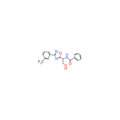 O=C(NC(CO)c1nc(-c2cccc(C(F)(F)F)c2)no1)c1ccccc1